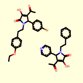 CC(=O)C1=C(O)C(=O)N(CCc2ccccc2)C1c1ccncc1.CCOc1ccc(CCN2C(=O)C(O)=C(C(C)=O)C2c2ccc(Br)cc2)cc1